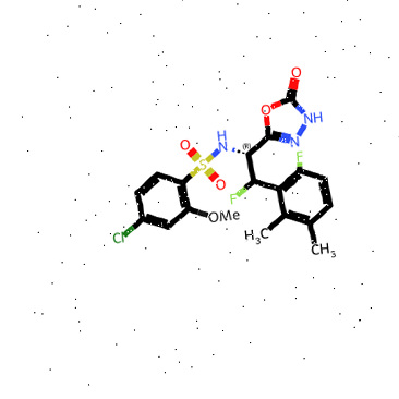 COc1cc(Cl)ccc1S(=O)(=O)N[C@H](c1n[nH]c(=O)o1)C(F)c1c(F)ccc(C)c1C